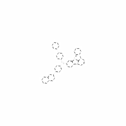 c1ccc(-c2ccc(N(c3ccc(-c4ccc5ccccc5c4)cc3)c3ccc4c5cccc6c7ccccc7n(c4c3)c65)cc2)cc1